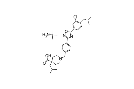 CC(C)(C)N.CC(C)Cc1ccc(-c2nc(-c3ccc(CN4CCC(CC(C)C)(C(=O)O)CC4)cc3)no2)cc1Cl